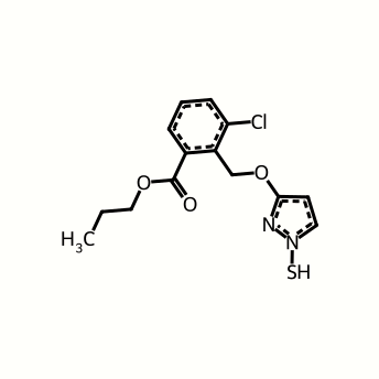 CCCOC(=O)c1cccc(Cl)c1COc1ccn(S)n1